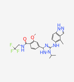 COc1cc(C2N=C(Nc3ccc4[nH]ncc4c3C)N(C(C)C)N2)ccc1C(=O)NCC(F)(F)F